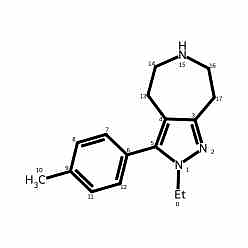 CCn1nc2c(c1-c1ccc(C)cc1)CCNCC2